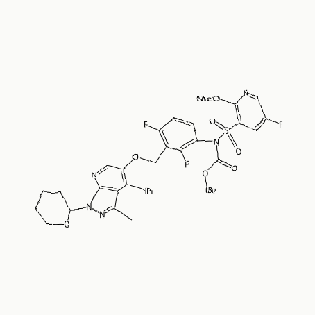 COc1ncc(F)cc1S(=O)(=O)N(C(=O)OC(C)(C)C)c1ccc(F)c(COc2cnc3c(c(C)nn3C3CCCCO3)c2C(C)C)c1F